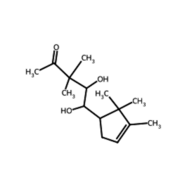 CC(=O)C(C)(C)C(O)C(O)C1CC=C(C)C1(C)C